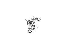 NC1=C(c2nc3ccccc3[nH]2)NNc2cc(C=O)nn21